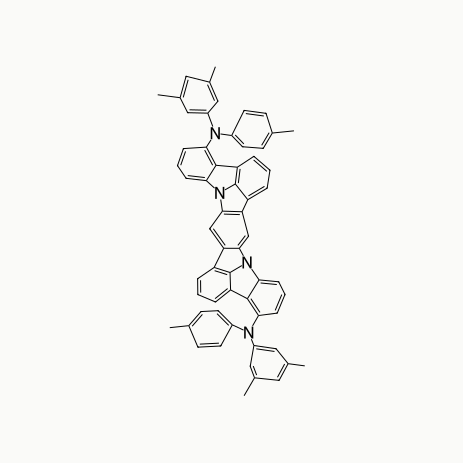 Cc1ccc(N(c2cc(C)cc(C)c2)c2cccc3c2c2cccc4c5cc6c(cc5n3c42)c2cccc3c4c(N(c5ccc(C)cc5)c5cc(C)cc(C)c5)cccc4n6c23)cc1